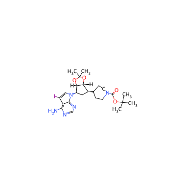 CC(C)(C)OC(=O)N1CCC([C@H]2C[C@@H](n3cc(I)c4c(N)ncnc43)[C@@H]3OC(C)(C)O[C@@H]32)CC1